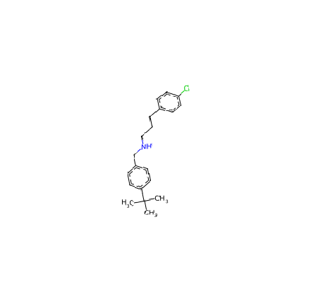 CC(C)(C)c1ccc(CNCCCc2ccc(Cl)cc2)cc1